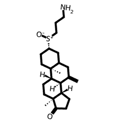 C=C1CC2C[C@@H]([S+]([O-])CCCN)CC[C@]2(C)[C@H]2CC[C@]3(C)C(=O)CC[C@H]3[C@H]12